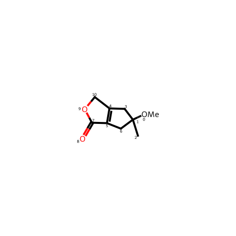 COC1(C)CC2=C(C1)C(=O)OC2